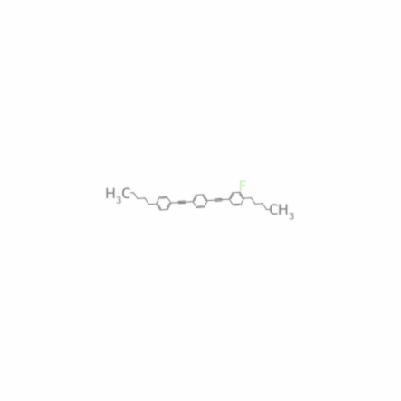 CCCCCc1ccc(C#Cc2ccc(C#Cc3ccc(CCCCC)c(F)c3)cc2)cc1